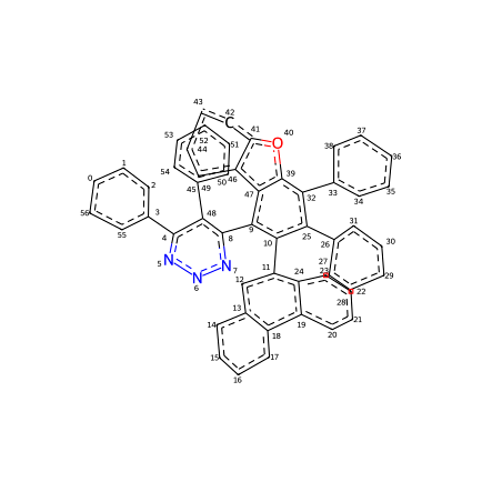 c1ccc(-c2nnnc(-c3c(-c4cc5ccccc5c5ccccc45)c(-c4ccccc4)c(-c4ccccc4)c4oc5ccccc5c34)c2-c2ccccc2)cc1